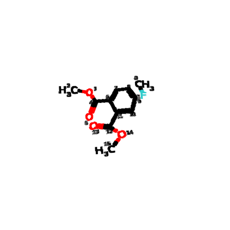 CF.COC(=O)c1ccccc1C(=O)OC